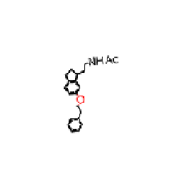 CC(=O)NCCC1CCc2ccc(OCCc3ccccc3)cc21